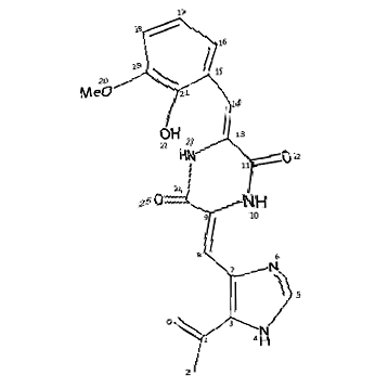 C=C(C)c1[nH]cnc1/C=c1\[nH]c(=O)/c(=C/c2cccc(OC)c2O)[nH]c1=O